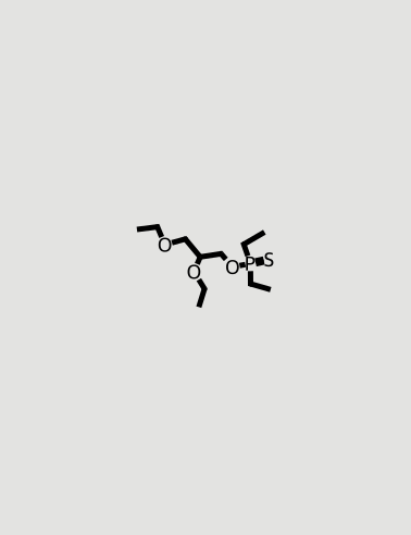 CCOCC(COP(=S)(CC)CC)OCC